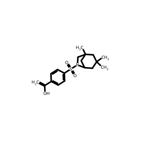 C=C(O)c1ccc(S(=O)(=O)N2CC3(C)CC2CC(C)(C)C3)cc1